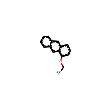 CCOc1cccc2cc3ccccc3cc12